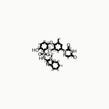 Cc1cc(-n2ncc(=O)[nH]c2=O)cc(Cl)c1Oc1ccc(O)c(S(=O)(=O)Nc2nc3ccccc3n2C)c1